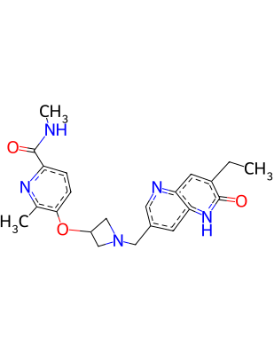 CCc1cc2ncc(CN3CC(Oc4ccc(C(=O)NC)nc4C)C3)cc2[nH]c1=O